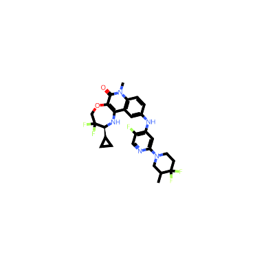 CC1CN(c2cc(Nc3ccc4c(c3)c3c(c(=O)n4C)OCC(F)(F)[C@H](C4CC4)N3)c(F)cn2)CCC1(F)F